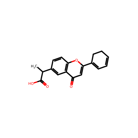 CC(C(=O)O)c1ccc2oc(C3=CC=CCC3)cc(=O)c2c1